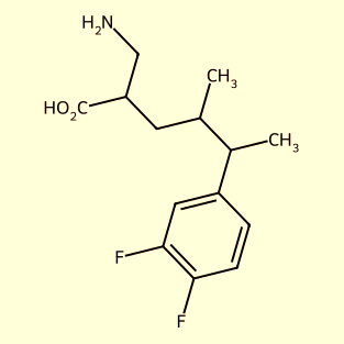 CC(CC(CN)C(=O)O)C(C)c1ccc(F)c(F)c1